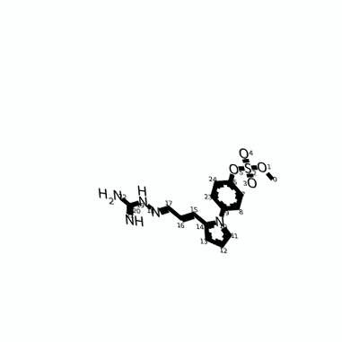 COS(=O)(=O)Oc1ccc(-n2cccc2/C=C/C=N/NC(=N)N)cc1